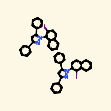 Ic1c(-n2nc(-c3ccccc3)cc2-c2ccccc2)ccc2ccccc12.Ic1ccc2ccccc2c1-n1nc(-c2ccccc2)cc1-c1ccccc1